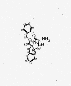 CC1(C)S[C@@H]2[C@@H](N)C(=O)N2[C@@]1(Cc1ccccc1)C(=O)OCc1ccccc1